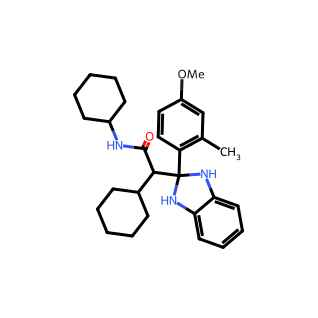 COc1ccc(C2(C(C(=O)NC3CCCCC3)C3CCCCC3)Nc3ccccc3N2)c(C)c1